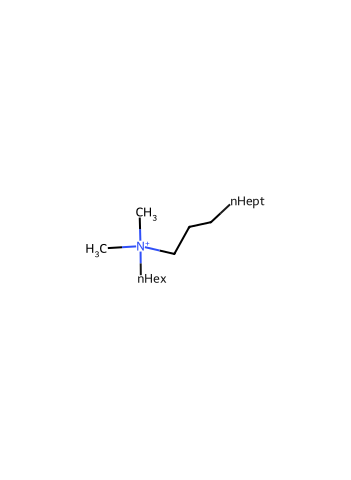 CCCCCCCCCC[N+](C)(C)CCCCCC